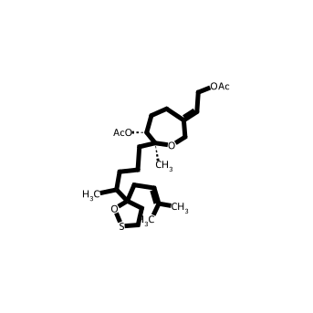 CC(=O)OC/C=C1\CC[C@@H](OC(C)=O)[C@](C)(CCCC(C)C2(CC=C(C)C)CCSO2)OC1